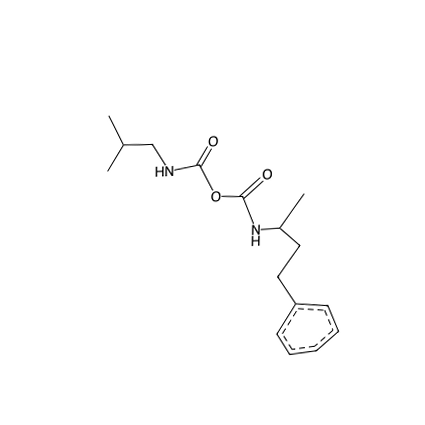 CC(C)CNC(=O)OC(=O)NC(C)CCc1ccccc1